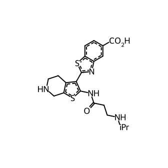 CC(C)NCCC(=O)Nc1sc2c(c1-c1nc3cc(C(=O)O)ccc3s1)CCNC2